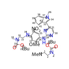 CNCCN(C)C(=O)OC(C)(C)C.COc1cc(N(C)CCN(C)C(=O)OC(C)(C)C)c([N+](=O)[O-])cc1Nc1nccc(-c2cn(C)c3ccccc23)n1